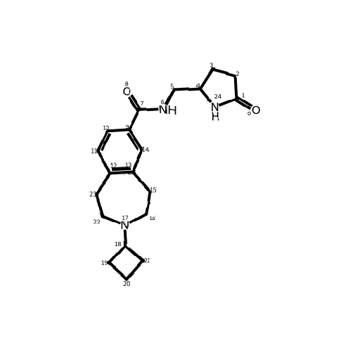 O=C1CCC(CNC(=O)c2ccc3c(c2)CCN(C2CCC2)CC3)N1